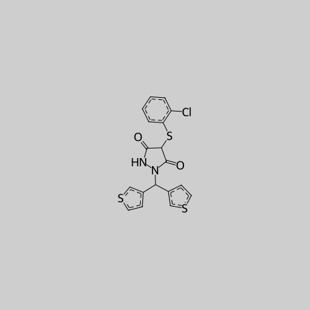 O=C1NN(C(c2ccsc2)c2ccsc2)C(=O)C1Sc1ccccc1Cl